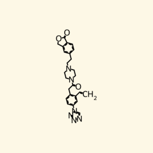 C=Cc1cc(-n2cnnn2)ccc1CC(=O)N1CCN(CCc2ccc3c(c2)COC3=O)CC1